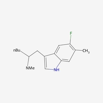 CCCCC(Cc1c[nH]c2cc(C)c(F)cc12)NC